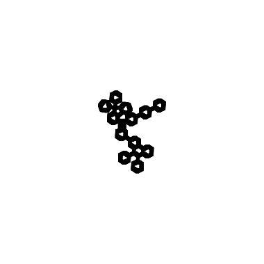 c1ccc(-c2ccc(-c3ccc(N(c4cccc(-c5ccc6c(c5)c(-c5ccccc5)c(-c5ccccc5)c5ccccc56)c4)c4cccc5c4-c4ccccc4C5(c4ccccc4)c4ccccc4)cc3)cc2)cc1